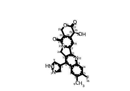 Cc1cc2c(-c3cn[nH]c3)c3c(nc2cc1F)-c1cc2c(c(=O)n1C3)COC(=O)[C@H]2O